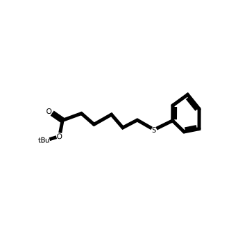 CC(C)(C)OC(=O)CCCCCSc1ccccc1